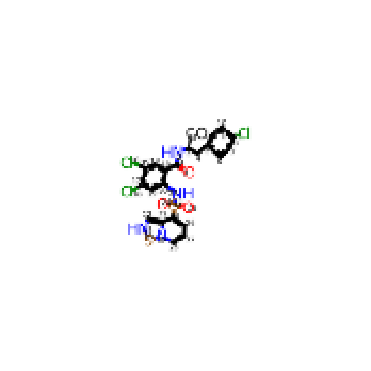 O=C(N[C@H](Cc1ccc(Cl)cc1)C(=O)O)c1cc(Cl)c(Cl)cc1NS(=O)(=O)C1=CC=CN2SNC=C12